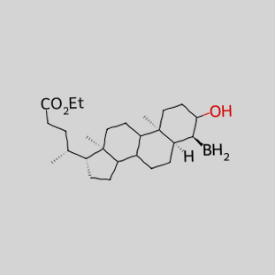 B[C@@H]1C(O)CC[C@]2(C)C3CC[C@@]4(C)C(CC[C@@H]4[C@H](C)CCC(=O)OCC)C3CC[C@H]12